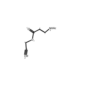 C#CCOC(=O)CCNC(C)=O